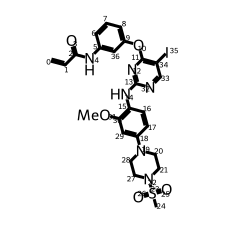 C=CC(=O)Nc1cccc(Oc2nc(Nc3ccc(N4CCN(S(C)(=O)=O)CC4)cc3OC)ncc2I)c1